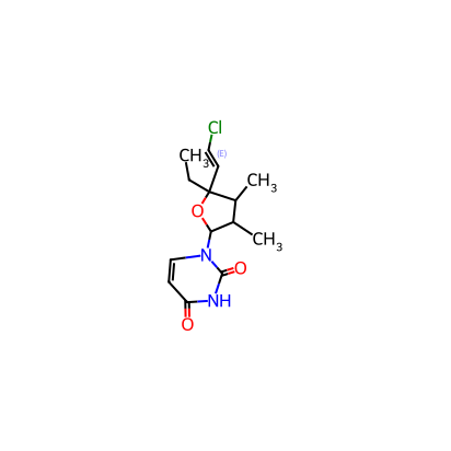 CCC1(/C=C/Cl)OC(n2ccc(=O)[nH]c2=O)C(C)C1C